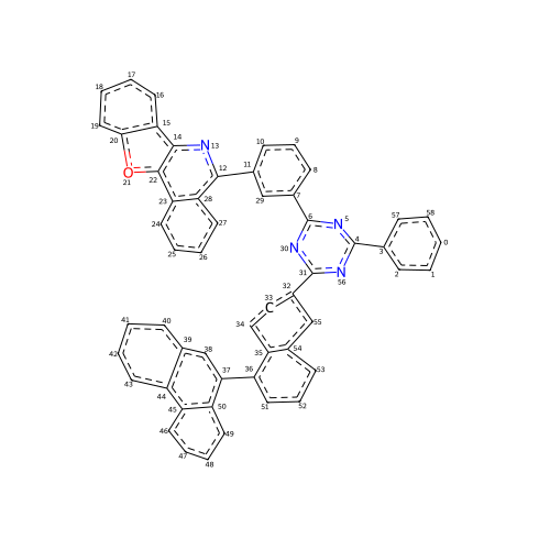 c1ccc(-c2nc(-c3cccc(-c4nc5c6ccccc6oc5c5ccccc45)c3)nc(-c3ccc4c(-c5cc6ccccc6c6ccccc56)cccc4c3)n2)cc1